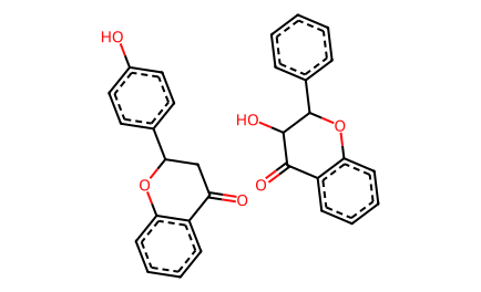 O=C1CC(c2ccc(O)cc2)Oc2ccccc21.O=C1c2ccccc2OC(c2ccccc2)C1O